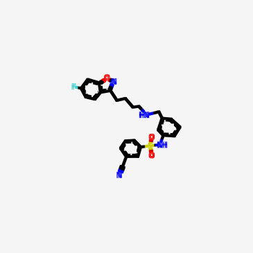 N#Cc1cccc(S(=O)(=O)Nc2cccc(CNCCCCc3noc4cc(F)ccc34)c2)c1